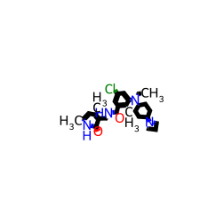 CCN(c1cc(Cl)cc(C(=O)NCc2c(C)cc(C)[nH]c2=O)c1C)C1CCC(N2CCC2)CC1